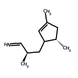 CC1=CC(C[C@@H](C)C=N)[C@@H](C)C1